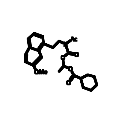 COc1ccc2cccc(CCN(C(C)=O)C(=O)OC(C)OC(=O)C3CCCCC3)c2c1